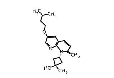 C=C1C=Cc2cc(OCCC(C)C)cnc2N1[C@H]1C[C@@](C)(O)C1